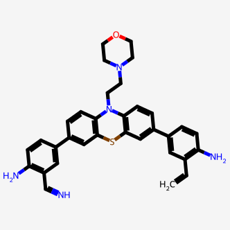 C=Cc1cc(-c2ccc3c(c2)Sc2cc(-c4ccc(N)c(C=N)c4)ccc2N3CCN2CCOCC2)ccc1N